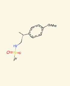 COc1ccc(C(C)CNS(=O)(=O)C(C)C)cc1